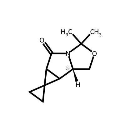 CC1(C)OC[C@@H]2C3C(C(=O)N21)C31CC1